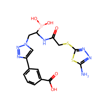 Nc1nnc(SCC(=O)NC(Cn2cc(-c3cccc(C(=O)O)c3)nn2)B(O)O)s1